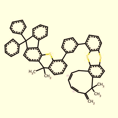 C=C1/C=C\C=C/Cc2c(ccc3c2Sc2c(cccc2-c2cccc(-c4cccc5c4Sc4c(ccc6c4-c4ccccc4C6(c4ccccc4)c4ccccc4)C5(C)C)c2)S3)C1(C)C